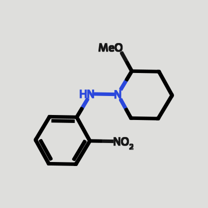 COC1CCCCN1Nc1ccccc1[N+](=O)[O-]